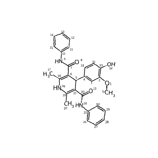 COc1cc(C2C(C(=O)Nc3ccccc3)=C(C)NC(C)=C2C(=O)Nc2ccccc2)ccc1O